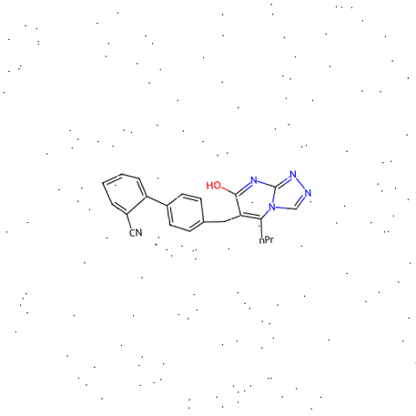 CCCc1c(Cc2ccc(-c3ccccc3C#N)cc2)c(O)nc2nncn12